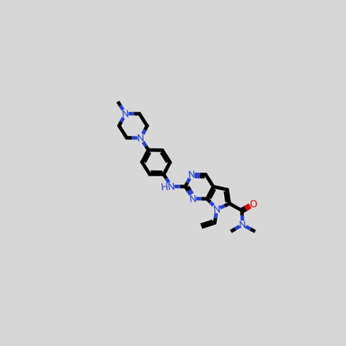 C=Cn1c(C(=O)N(C)C)cc2cnc(Nc3ccc(N4CCN(C)CC4)cc3)nc21